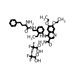 CCOc1cc2ncc(C(N)=O)c(Nc3cccc(CNC(=O)[C@@H](N)CCc4ccccc4)c3CC)c2cc1OCC.O=C(O)C(F)(F)F.O=C(O)C(F)(F)F